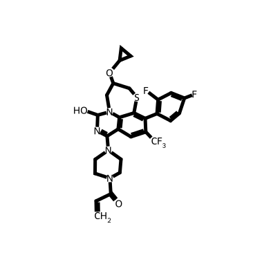 C=CC(=O)N1CCN(C2=NC(O)N3CC(OC4CC4)CSc4c(-c5ccc(F)cc5F)c(C(F)(F)F)cc2c43)CC1